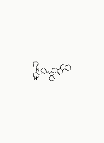 c1ccc(-n2c3ccncc3c3cc(-n4c5ccccc5c5c6ccc7c8ccccc8ccc7c6ccc54)ccc32)cc1